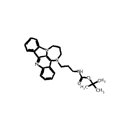 CC(C)(C)OC(=O)NCCCN1CCCn2c3ccccc3c3nc4ccccc4c1c32